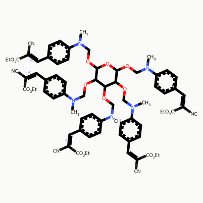 [C-]#[N+]/C(=C/c1ccc(N(C)COC2OC(OCN(C)c3ccc(/C=C(\C#N)C(=O)OCC)cc3)C(OCN(C)c3ccc(/C=C(/C#N)C(=O)OCC)cc3)C(OCN(C)c3ccc(/C=C(/[N+]#[C-])C(=O)OCC)cc3)C2OCN(C)c2ccc(/C=C(/C#N)C(=O)OCC)cc2)cc1)C(=O)OCC